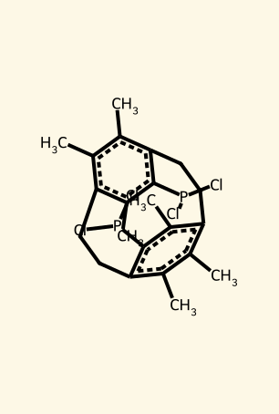 Cc1c(C)c2c(P(Cl)Cl)c(C)c1CCc1c(C)c(C)c(c(C)c1P(Cl)Cl)CC2